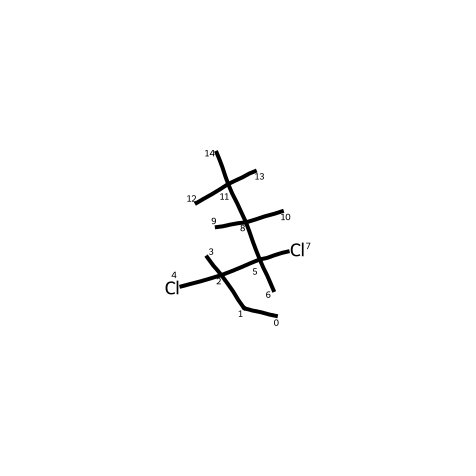 CCC(C)(Cl)C(C)(Cl)C(C)(C)C(C)(C)C